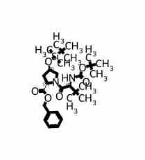 CC(C)(C)OC(=O)N[C@H](C(=O)N1C[C@H](O[Si](C)(C)C(C)(C)C)C[C@H]1C(=O)OCc1ccccc1)C(C)(C)C